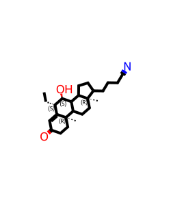 CC[C@H]1C2=CC(=O)CC[C@]2(C)C2CC[C@]3(C)C(CCCC#N)CCC3C2[C@@H]1O